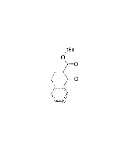 CC(C)(C)OC(=O)C1CCc2ccncc2C1=O